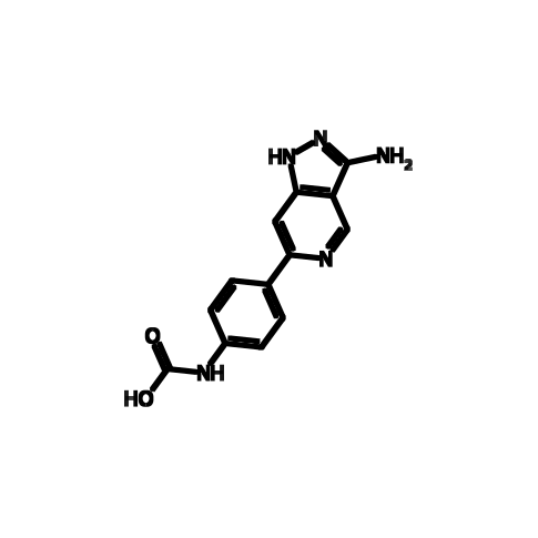 Nc1n[nH]c2cc(-c3ccc(NC(=O)O)cc3)ncc12